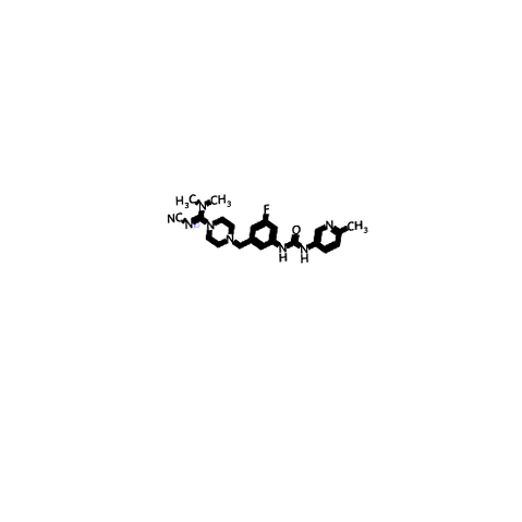 Cc1ccc(NC(=O)Nc2cc(F)cc(CN3CCN(/C(=N/C#N)N(C)C)CC3)c2)cn1